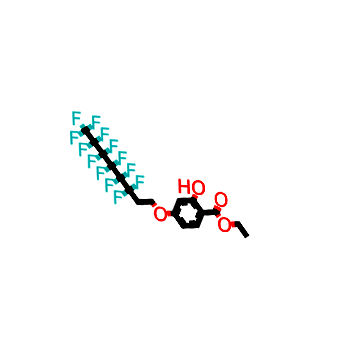 CCOC(=O)c1ccc(OCCC(F)(F)C(F)(F)C(F)(F)C(F)(F)C(F)(F)C(F)(F)F)cc1O